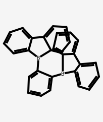 c1ccc(B2c3ccccc3-c3ccccc32)c(B2c3ccccc3-c3ccccc32)c1